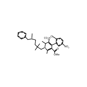 COC(=O)C1=C(C)N(CC(C)(C)CCN(C)Cc2ccccc2)C(C)C(C(=O)O)=C1c1cc([N+](=O)[O-])ccc1Cl